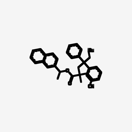 CCC(C)CC(CC(C)(CCC#N)C(=O)OC(C)c1ccc2ccccc2c1)(c1ccccc1)c1ccccc1